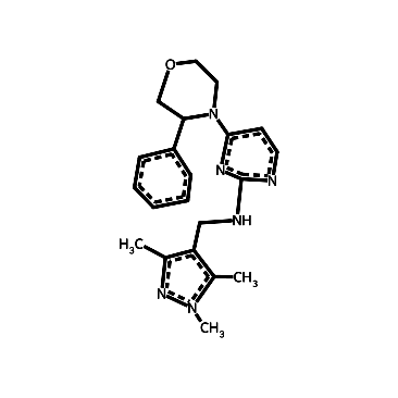 Cc1nn(C)c(C)c1CNc1nccc(N2CCOCC2c2ccccc2)n1